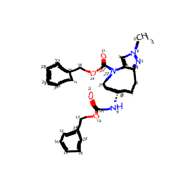 Cn1cc2c(n1)CC[C@H](NC(=O)OCc1ccccc1)CN2C(=O)OCc1ccccc1